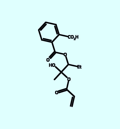 C=CC(=O)OC(C)(O)C(CC)OC(=O)c1ccccc1C(=O)O